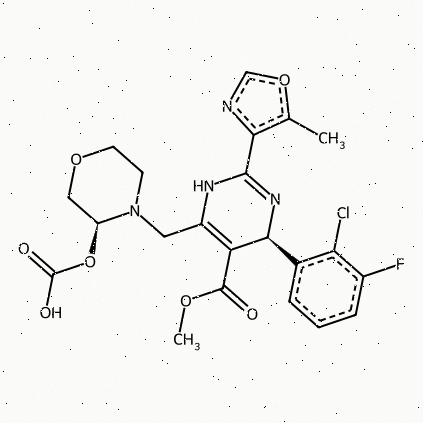 COC(=O)C1=C(CN2CCOC[C@@H]2OC(=O)O)NC(c2ncoc2C)=N[C@H]1c1cccc(F)c1Cl